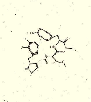 COC(=O)[C@H](Cc1ccc(O)cc1)NC(=O)[C@@H](NC(=O)C[C@@H]1CCC(=O)N1Cc1cccc(F)c1F)[C@@H](C)OC